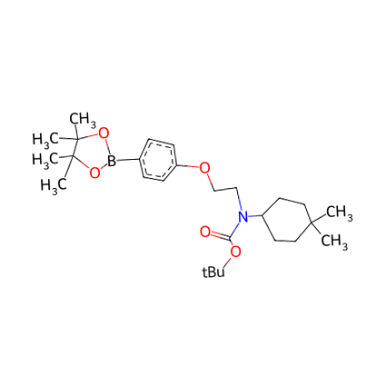 CC1(C)CCC(N(CCOc2ccc(B3OC(C)(C)C(C)(C)O3)cc2)C(=O)OC(C)(C)C)CC1